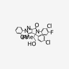 COc1ccccc1-n1nc2c(c1C(C)C)C(CCO)(c1ccc(Cl)cc1)N(c1ccc(F)c(Cl)c1)C2=O